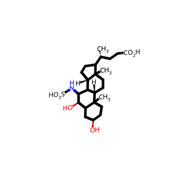 C[C@H](CCC(=O)O)C1CC[C@H]2C3C(NS(=O)(=O)O)[C@H](O)C4C[C@H](O)CCC4(C)[C@H]3CCC12C